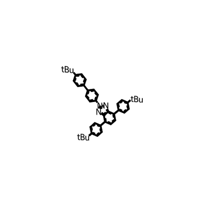 CC(C)(C)c1ccc(-c2ccc(-n3nc4c(-c5ccc(C(C)(C)C)cc5)ccc(-c5ccc(C(C)(C)C)cc5)c4n3)cc2)cc1